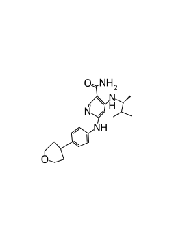 CC(C)[C@H](C)Nc1cc(Nc2ccc(C3CCOCC3)cc2)ncc1C(N)=O